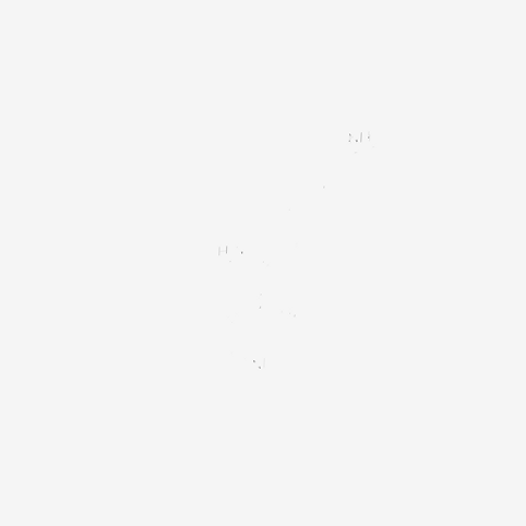 CC(N)OC(=O)C(N)CCCCN